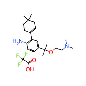 CN(C)CCOC(C)(C)c1ccc(N)c(C2=CCC(C)(C)CC2)c1.O=C(O)C(F)(F)F